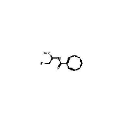 CC(C)CC(NC(=O)C1=CCCCCC=C1)C(=O)O